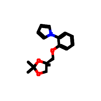 CC1(C)OC[C@H](COc2ccccc2-n2cccc2)O1